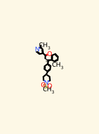 Cc1cc(C(=O)C[C@H](c2ccc(C3CCN(S(C)(=O)=O)CC3)cc2)c2ccccc2C)ccn1